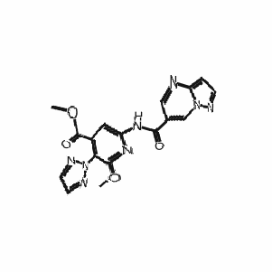 COC(=O)c1cc(NC(=O)c2cnc3ccnn3c2)nc(OC)c1-n1nccn1